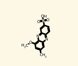 COc1cc(C)cc2nc3ccc(S(=O)(=O)O)cc3nc12